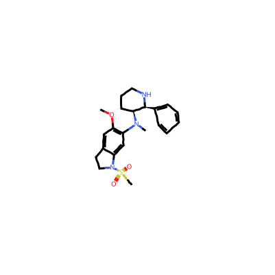 COc1cc2c(cc1N(C)[C@H]1CCCN[C@H]1c1ccccc1)N(S(C)(=O)=O)CC2